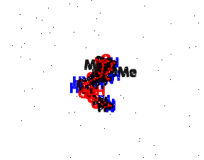 CC[C@H](C)[C@@H]([C@@H](CC(=O)N1CCC[C@H]1[C@H](OC)[C@@H](C)C(=O)N[C@@H](Cc1ccccc1)C(=O)NCCCOC(=O)[C@H](C)NC(=O)CCNC(=O)OC[C@H](NC(C)(CC)C(=O)CNC(C)(CC)C(=O)CCOCCOCCNC(=O)OC[C@@H]1[C@@H]2CCc3nnn(C)c3CC[C@@H]21)C(=O)NC(C)(C)CCO)OC)N(C)C(=O)C(NC(=O)C(C(C)C)N(C)C)C(C)C